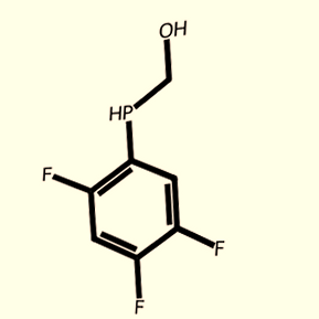 OCPc1cc(F)c(F)cc1F